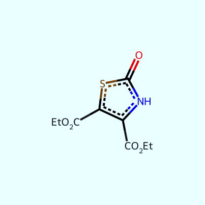 CCOC(=O)c1[nH]c(=O)sc1C(=O)OCC